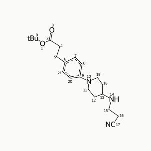 CC(C)(C)OC(=O)CCc1ccc(N2CCC(NCCC#N)CC2)cc1